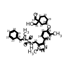 Cc1nc(-c2nnn(C)c2CNS(=O)(=O)N(C)Cc2ccccc2)ccc1O[C@H]1CCCC(C=O)(CO)C1